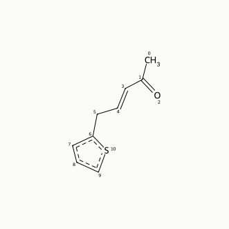 CC(=O)C=CCc1cccs1